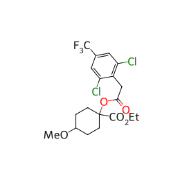 CCOC(=O)C1(OC(=O)Cc2c(Cl)cc(C(F)(F)F)cc2Cl)CCC(OC)CC1